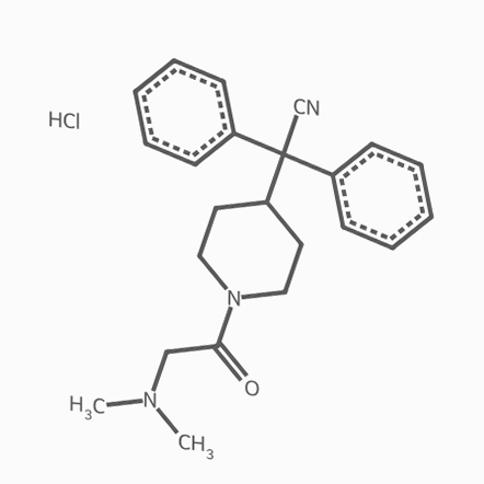 CN(C)CC(=O)N1CCC(C(C#N)(c2ccccc2)c2ccccc2)CC1.Cl